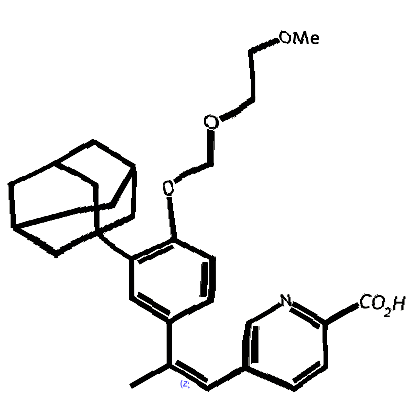 COCCOCOc1ccc(/C(C)=C\c2ccc(C(=O)O)nc2)cc1C12CC3CC(CC(C3)C1)C2